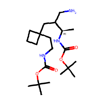 C[C@@H](NC(=O)OC(C)(C)C)C(CN)CC1(CCNC(=O)OC(C)(C)C)CCC1